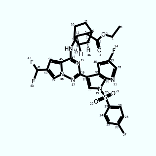 CCOC(=O)[C@@H]1C2CCC(CC2)[C@H]1Nc1nc(-c2cn(S(=O)(=O)c3ccc(C)cc3)c3ncc(F)cc23)nn2cc(C(F)F)cc12